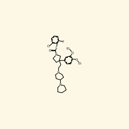 CCOc1ccc(C2(CCN3CCC(N4CCCCC4)CC3)CCN(C(=O)Cc3c(F)cccc3Cl)C2)cc1OCC